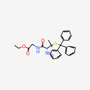 CCOC(=O)CNC(=O)[C@@H](N)C(C)(C)SC(c1ccccc1)(c1ccccc1)c1ccccc1